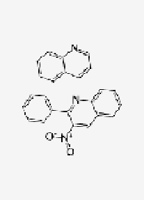 O=[N+]([O-])c1cc2ccccc2nc1-c1ccccc1.c1ccc2ncccc2c1